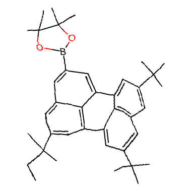 CCC(C)(C)c1cc2cc(B3OC(C)(C)C(C)(C)O3)cc3c4cc(C(C)(C)C)cc5cc(C(C)(C)C)cc(c(c1)c23)c54